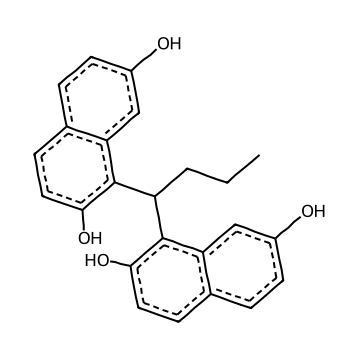 CCCC(c1c(O)ccc2ccc(O)cc12)c1c(O)ccc2ccc(O)cc12